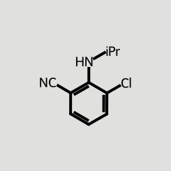 CC(C)Nc1c(Cl)cccc1C#N